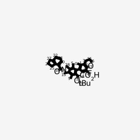 Cc1c(-c2c(C)c3c(c(C)c2[C@H](OC(C)(C)C)C(=O)O)CN(C(=O)c2cccc4c2CCC4)C3)cc(F)c2c1CCCO2